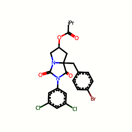 CC(C)C(=O)OC1CN2C(=O)N(c3cc(Cl)cc(Cl)c3)C(=O)C2(Cc2ccc(Br)cc2)C1